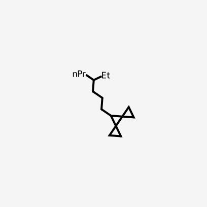 CCCC(CC)CCCC1C2(CC2)C12CC2